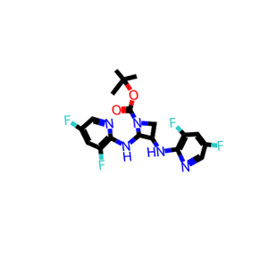 CC(C)(C)OC(=O)N1CC(Nc2ncc(F)cc2F)C1Nc1ncc(F)cc1F